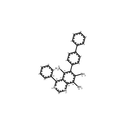 Bc1c(-c2ccc(-c3ccccc3)cc2)c(B)c2c(-c3ccccc3)ncnc2c1B